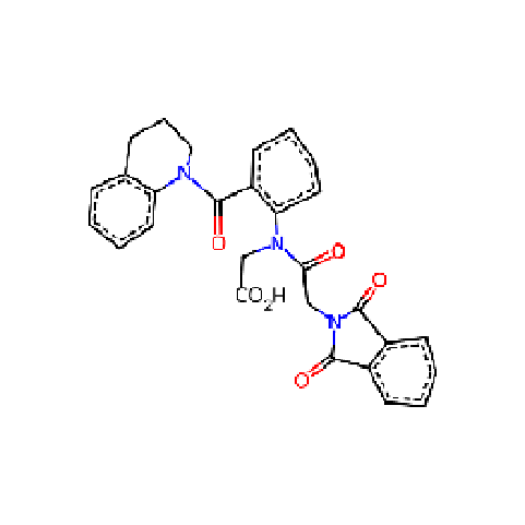 O=C(O)CN(C(=O)CN1C(=O)c2ccccc2C1=O)c1ccccc1C(=O)N1CCCc2ccccc21